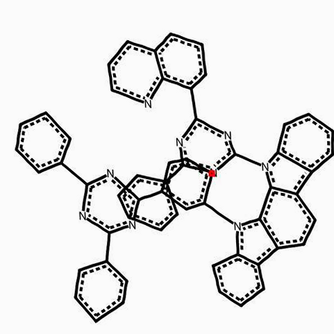 c1ccc(-c2nc(-c3ccccc3)nc(-c3cccc(-n4c5ccccc5c5ccc6c7ccccc7n(-c7nc(-c8ccccc8)nc(-c8cccc9cccnc89)n7)c6c54)c3)n2)cc1